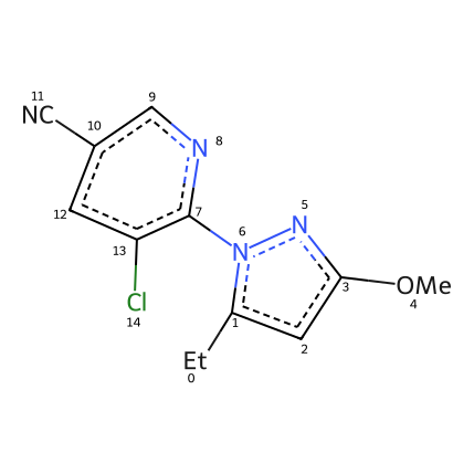 CCc1cc(OC)nn1-c1ncc(C#N)cc1Cl